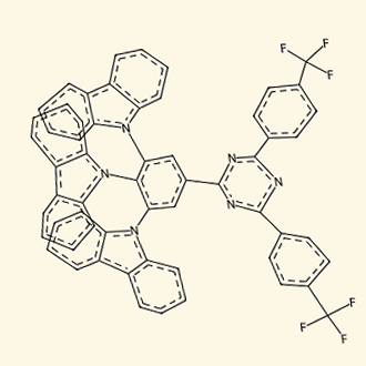 FC(F)(F)c1ccc(-c2nc(-c3ccc(C(F)(F)F)cc3)nc(-c3cc(-n4c5ccccc5c5ccccc54)c(-n4c5ccccc5c5ccccc54)c(-n4c5ccccc5c5ccccc54)c3)n2)cc1